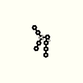 C1=CC2Oc3cc(-c4ccc(-c5ccccc5)cc4)ccc3C2C(c2nc(-c3ccc(-c4ccccc4)cc3)nc(-c3ccc(-c4ccccc4)cc3)n2)=C1